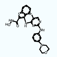 O=C(NO)c1sc2ccccc2c1Nc1nc(Nc2cccc(N3CCOCC3)c2)ncc1Br